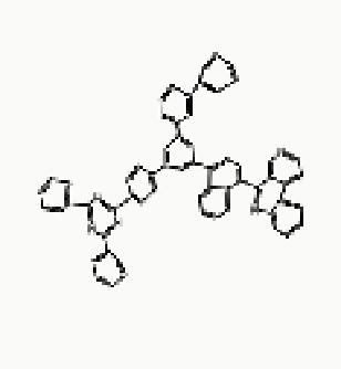 c1ccc(-c2cccc(-c3cc(-c4ccc(-c5nc(-c6ccccc6)nc(-c6ccccc6)n5)cc4)cc(-c4ccc(-c5nc6ccccc6c6ccncc56)c5ccccc45)c3)c2)cc1